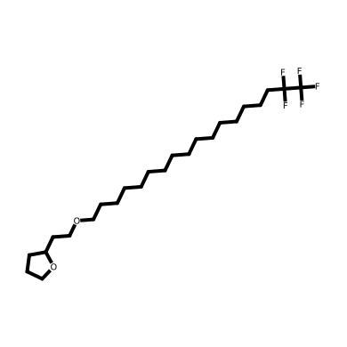 FC(F)(F)C(F)(F)CCCCCCCCCCCCCCCCOCCC1CCCO1